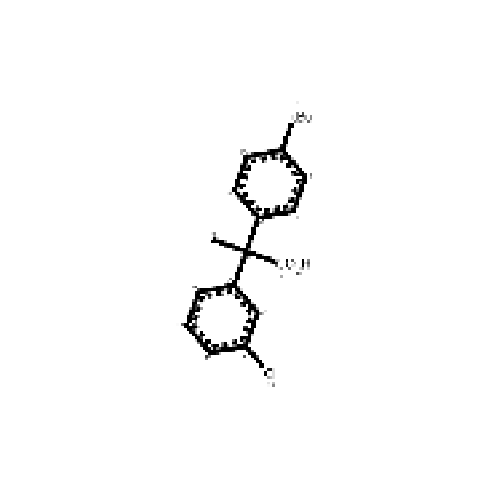 CC(C)(C)c1ccc(C(C)(C(=O)O)c2cccc(Cl)c2)cc1